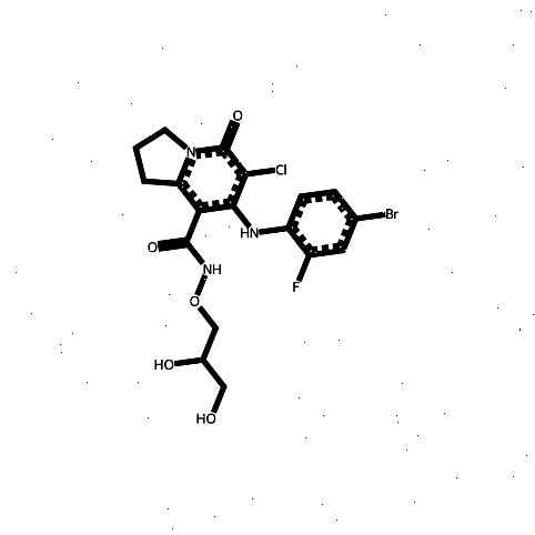 O=C(NOCC(O)CO)c1c(Nc2ccc(Br)cc2F)c(Cl)c(=O)n2c1CCC2